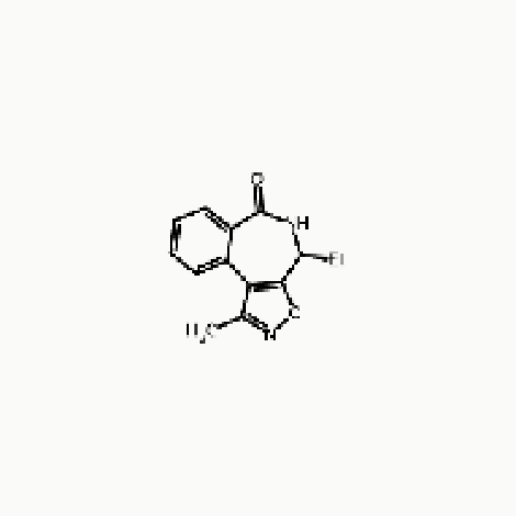 CC[C@@H]1NC(=O)c2ccccc2-c2c(C)noc21